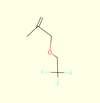 C=C(C)COCC(F)(F)F